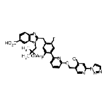 COC(C)(C)Cn1c(Cc2cc(F)c(-c3cccc(OCc4cnc(-n5ccnn5)cc4Cl)n3)cc2F)nc2ccc(C(=O)O)cc21